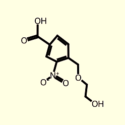 O=C(O)c1ccc(COCCO)c([N+](=O)[O-])c1